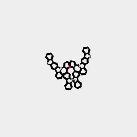 O=S12(c3ccccc3-c3ccc(-c4ccccc4-n4c5ccccc5c5cc6sc7ccccc7c6cc54)cc31)c1ccccc1-c1ccc(-c3ccccc3-n3c4ccccc4c4cc5sc6ccccc6c5cc43)cc12